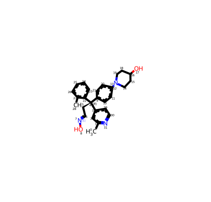 Cc1cc([C@@](C/C=N/O)(c2ccc(N3CCC(O)CC3)cc2)c2ccccc2C)ccn1